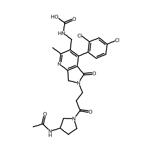 CC(=O)NC1CCN(C(=O)CCN2Cc3nc(C)c(CNC(=O)O)c(-c4ccc(Cl)cc4Cl)c3C2=O)C1